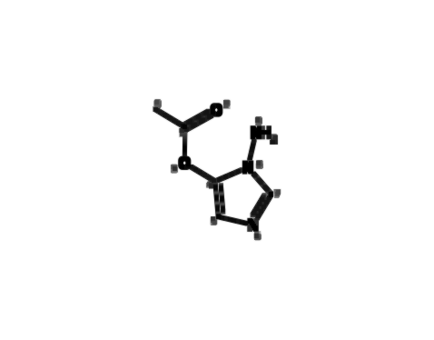 CC(=O)Oc1cncn1N